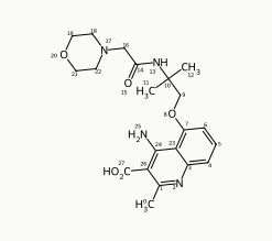 Cc1nc2cccc(OCC(C)(C)NC(=O)CN3CCOCC3)c2c(N)c1C(=O)O